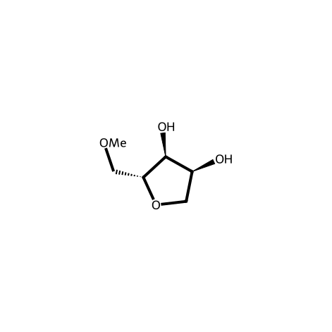 COC[C@H]1OC[C@H](O)[C@@H]1O